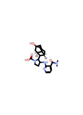 CN(C)C(=O)c1cccnc1NC1CCN(C(=O)O)C1C1[C@@H]2CC3C[C@H]1CC(O)(C3)C2